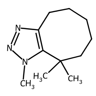 Cn1nnc2c1C(C)(C)CCCCC2